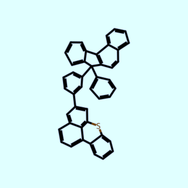 c1ccc(C2(c3cccc(-c4cc5c6c(cccc6c4)-c4ccccc4S5)c3)c3ccccc3-c3c2ccc2ccccc32)cc1